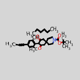 CC#Cc1cc(C)c(C2C(=O)CC3(CCN(C(=O)OC(C)(C)C)CC3)CC2=O)c(C)c1.CCCCCC